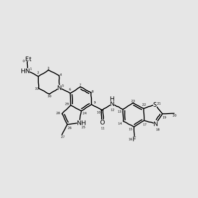 CCNC1CCN(c2ccc(C(=O)Nc3cc(F)c4nc(C)sc4c3)c3[nH]c(C)cc23)CC1